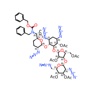 CC(=O)OC[C@H]1O[C@@H](O[C@@H]2[C@@H](OC(C)=O)[C@H](N=[N+]=[N-])C[C@H](N=[N+]=[N-])[C@H]2O[C@H]2O[C@H]([C@@H](C)N(Cc3ccccc3)C(=O)OCc3ccccc3)CC[C@H]2N=[N+]=[N-])[C@H](OC(C)=O)[C@@H]1O[C@H]1O[C@@H](CN=[N+]=[N-])[C@@H](OC(C)=O)[C@H](OC(C)=O)[C@H]1N=[N+]=[N-]